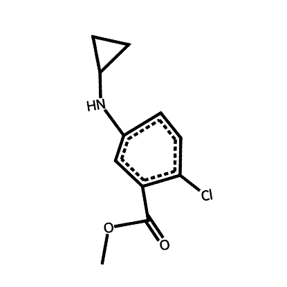 COC(=O)c1cc(NC2CC2)ccc1Cl